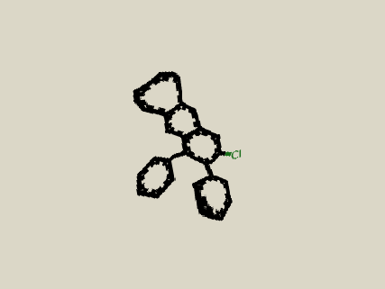 Clc1cc2cc3ccccc3cc2c(-c2ccccc2)c1-c1ccccc1